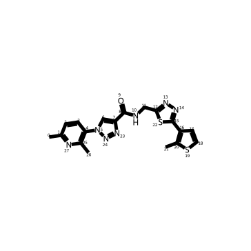 Cc1ccc(-n2cc(C(=O)NCc3nnc(-c4ccsc4C)s3)nn2)c(C)n1